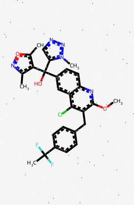 COc1nc2ccc(C(O)(c3c(C)noc3C)c3cnnn3C)cc2c(Cl)c1Cc1ccc(C(C)(F)F)cc1